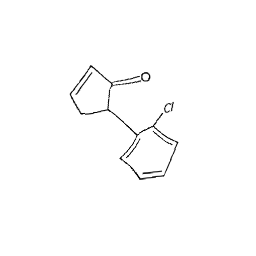 O=C1C=CCC1c1ccccc1Cl